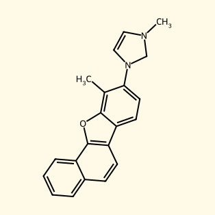 Cc1c(N2C=CN(C)C2)ccc2c1oc1c3ccccc3ccc21